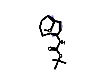 COC1=C\CCC/C=C(NC(=O)OC(C)(C)C)/C=C\1